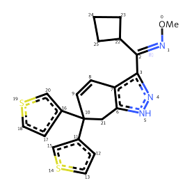 CO/N=C(/c1n[nH]c2c1C=CC(c1ccsc1)(c1ccsc1)C2)C1CCC1